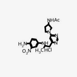 CC(=O)NC1CCN(c2cc(CC(C)Nc3ccc(N)c([N+](=O)[O-])c3)ncn2)C1.Cl